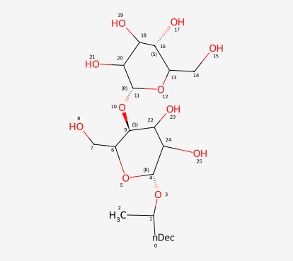 CCCCCCCCCCC(C)O[C@@H]1OC(CO)[C@@H](O[C@H]2OC(CO)[C@@H](O)C(O)C2O)C(O)C1O